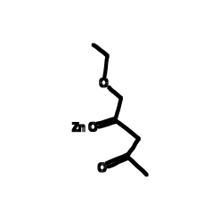 CCOCC(=O)CC(C)=O.[Zn]